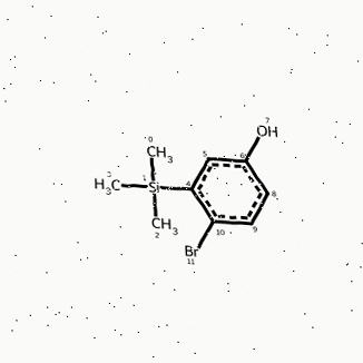 C[Si](C)(C)c1cc(O)ccc1Br